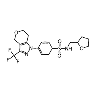 O=S(=O)(NCC1CCCO1)C1C=CC(n2nc(C(F)(F)F)c3c2CCOC3)=CC1